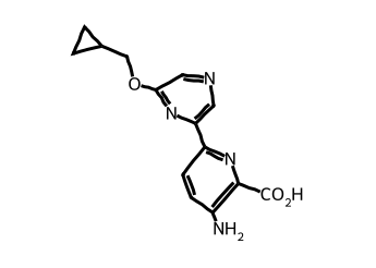 Nc1ccc(-c2cncc(OCC3CC3)n2)nc1C(=O)O